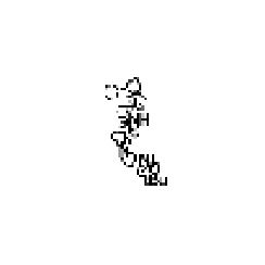 Cc1cccc(C2CCCCC2)c1OC1(C(=O)NS(=O)(=O)c2cccc(N3CCCC(NC(=O)OC(C)(C)C)C3)n2)CC1